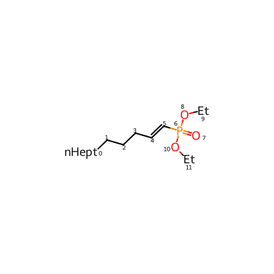 CCCCCCCCCCC=CP(=O)(OCC)OCC